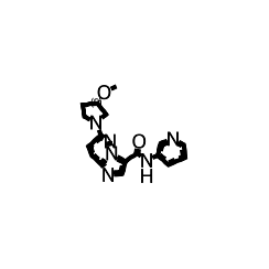 CO[C@H]1CCN(c2ccc3ncc(C(=O)Nc4cccnc4)n3n2)C1